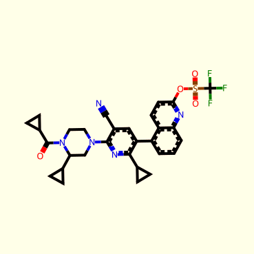 N#Cc1cc(-c2cccc3nc(OS(=O)(=O)C(F)(F)F)ccc23)c(C2CC2)nc1N1CCN(C(=O)C2CC2)C(C2CC2)C1